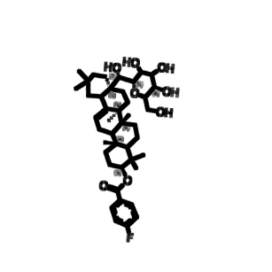 CC1(C)CC[C@]2([C@H](O)[C@H]3OC(CO)[C@H](O)C(O)C3O)CC[C@]3(C)C(=CCC4[C@@]5(C)CC[C@H](OC(=O)c6ccc(F)cc6)C(C)(C)C5CC[C@]43C)C2C1